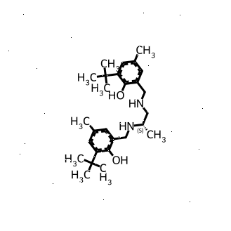 Cc1cc(CNC[C@H](C)NCc2cc(C)cc(C(C)(C)C)c2O)c(O)c(C(C)(C)C)c1